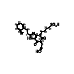 C#CCn1c(=O)c2[nH]c(CCc3ccccc3Br)nc2n(CCCCS(=O)(=O)O)c1=O